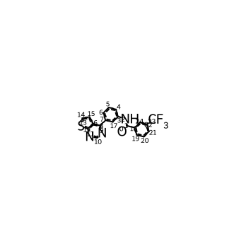 O=C(Nc1cccc(-c2ncnc3sccc23)c1)c1cccc(C(F)(F)F)c1